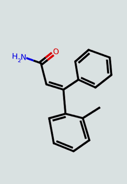 Cc1ccccc1C(=CC(N)=O)c1ccccc1